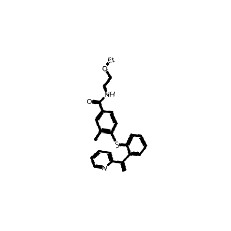 C=C(c1ccccn1)c1ccccc1Sc1ccc(C(=O)NCCOCC)cc1C